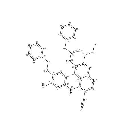 CCOc1cc2ncc(C#N)c(Nc3ccc(OCc4ccccn4)c(Cl)c3)c2cc1NC(=O)Cc1ccccc1